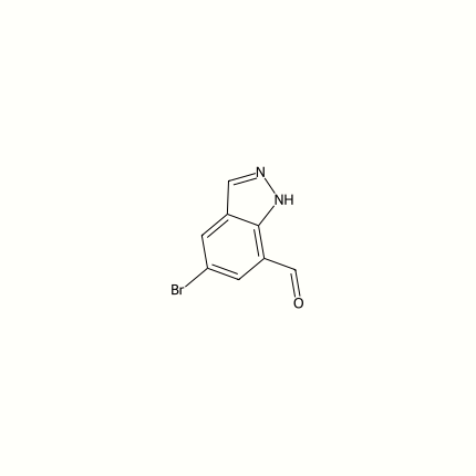 O=Cc1cc(Br)cc2cn[nH]c12